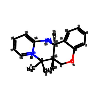 CC1(C)[C@H]2COc3ccccc3[C@@H]2Nc2cccc[n+]21